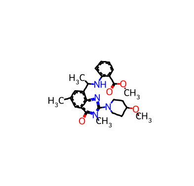 COC(=O)c1ccccc1NC(C)c1cc(C)cc2c(=O)n(C)c(N3CCC(OC)CC3)nc12